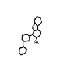 NC1CCC2C3CCCCC3SC2C1C1CCCC(C2CCCCC2)C1